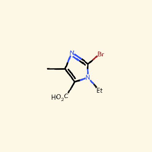 CCn1c(Br)nc(C)c1C(=O)O